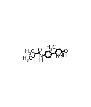 CCC(C)C(=O)Nc1ccc(-c2n[nH]c(=O)cc2C)cc1